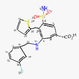 NS(=O)(=O)c1cc(C(=O)O)cc(NCc2cccc(F)c2)c1-c1cccs1